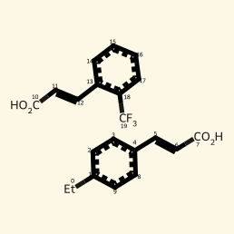 CCc1ccc(C=CC(=O)O)cc1.O=C(O)C=Cc1ccccc1C(F)(F)F